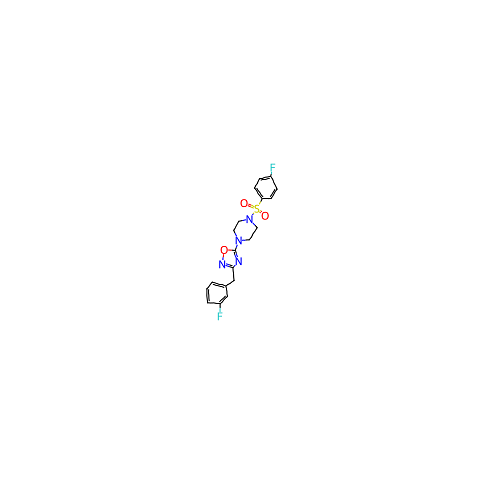 O=S(=O)(c1ccc(F)cc1)N1CCN(c2nc(Cc3cccc(F)c3)no2)CC1